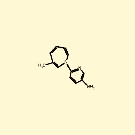 CC1=CN(c2ccc(N)cn2)C=CC=C1